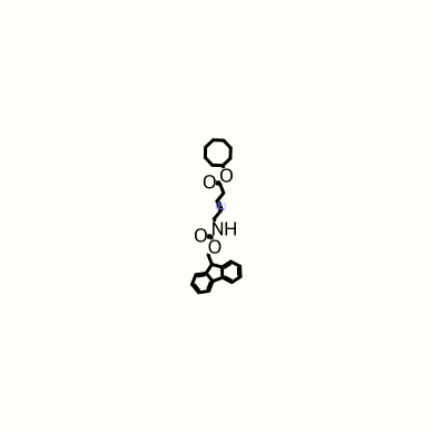 O=C(C/C=C/CNC(=O)OCC1c2ccccc2-c2ccccc21)OC1CCCCCCC1